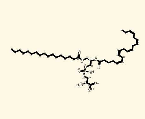 CC/C=C\C/C=C\C/C=C\C/C=C\C/C=C\CCCC(=O)O[C@H](COC(=O)CCCCCCCCCCCCCCCC)COP(=O)(O)OC[C@H](N)C(=O)O